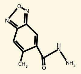 Cc1cc2nonc2cc1C(=O)NN